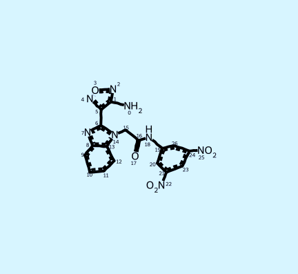 Nc1nonc1-c1nc2ccccc2n1CC(=O)Nc1cc([N+](=O)[O-])cc([N+](=O)[O-])c1